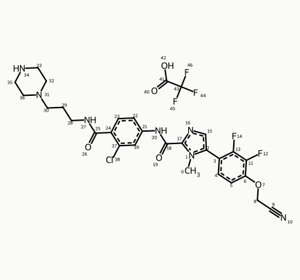 Cn1c(-c2ccc(OCC#N)c(F)c2F)cnc1C(=O)Nc1ccc(C(=O)NCCCN2CCNCC2)c(Cl)c1.O=C(O)C(F)(F)F